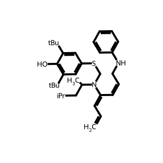 C=C/C=C(\C=C/CNc1ccccc1)N(CSc1cc(C(C)(C)C)c(O)c(C(C)(C)C)c1)C(C)CC(C)C